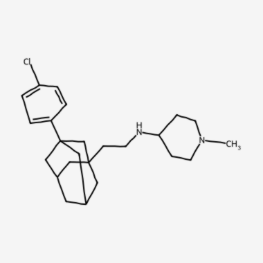 CN1CCC(NCCC23CC4CC(C2)CC(c2ccc(Cl)cc2)(C4)C3)CC1